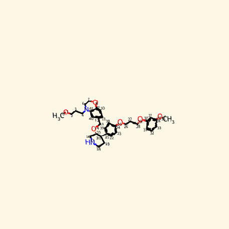 COCCCN1CCOc2ccc(CO[C@H]3CNCC[C@@H]3c3ccc(OCCCOc4cccc(OC)c4)cc3)cc21